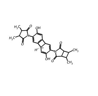 CC1C(=O)N(c2cc3c(cc2O)C2C=C(N4C(=O)C5C(C)C(C)C5C4=O)C(O)=C[C@@H]32)C(=O)C1C